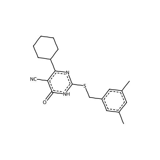 Cc1cc(C)cc(CSc2nc(C3CCCCC3)c(C#N)c(=O)[nH]2)c1